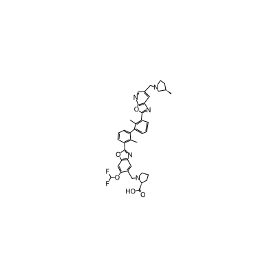 Cc1c(-c2nc3cc(CN4CCC[C@H]4C(=O)O)c(OC(F)F)cc3o2)cccc1-c1cccc(-c2nc3cc(CN4CC[C@@H](C)C4)cnc3o2)c1C